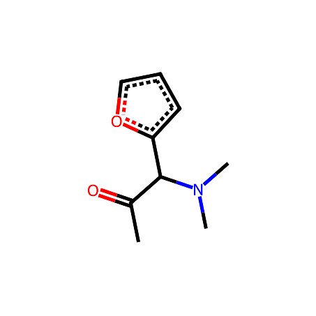 CC(=O)C(c1ccco1)N(C)C